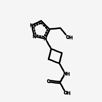 O=C(O)NC1CC(n2nncc2CO)C1